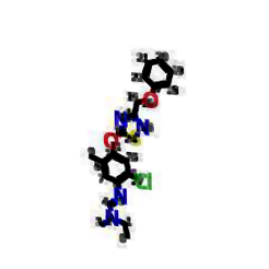 CCN(C)C=Nc1cc(C)c(Oc2nc(COc3ccccc3)ns2)cc1Cl